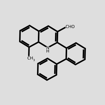 CC1=CC=CC2=CC(C=O)=C(c3ccccc3-c3ccccc3)NC12